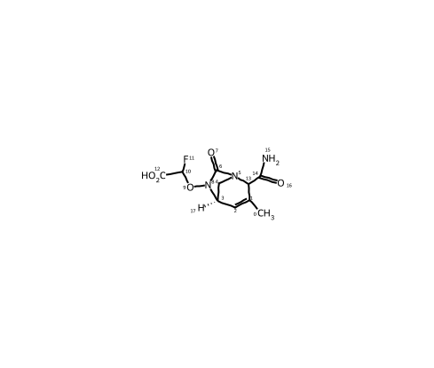 CC1=C[C@@H]2CN(C(=O)N2OC(F)C(=O)O)C1C(N)=O